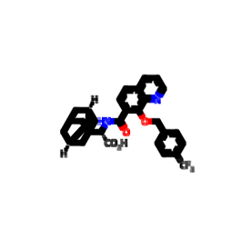 O=C(N[C@H](C(=O)O)C12CC3C[C@H](C1)C[C@@H](C3)C2)c1ccc2cccnc2c1OCc1ccc(C(F)(F)F)cc1